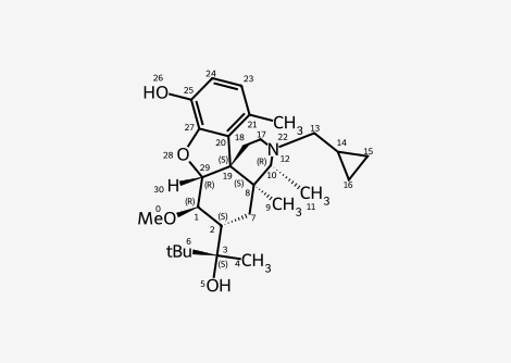 CO[C@@H]1[C@@H]([C@](C)(O)C(C)(C)C)C[C@]2(C)[C@@H](C)N(CC3CC3)CC[C@@]23c2c(C)ccc(O)c2O[C@@H]13